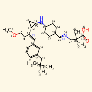 COCC/C(=C\c1cccc(CC(C)(C)C)c1)[C@@H]1C[C@H]1NC1CCC(/C=N/CC(C)(C)C(=O)O)CC1